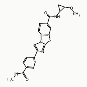 CNC(=O)c1ccc(-c2cn3c(n2)sc2cc(C(=O)NC4CC4OC)ccc23)cc1